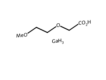 COCCOCC(=O)O.[GaH3]